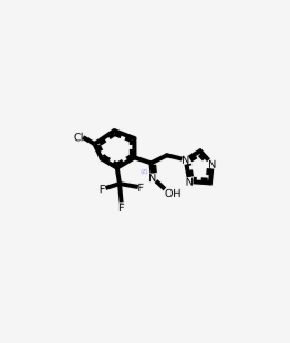 O/N=C(\Cn1cncn1)c1ccc(Cl)cc1C(F)(F)F